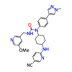 COc1cncc(CNC(=O)N(c2ccc(-c3cnn(C)c3)cc2)C2CCC(Nc3ccc(C#N)cn3)CC2)c1